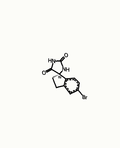 O=C1NC(=O)[C@@]2(CCc3cc(Br)ccc32)N1